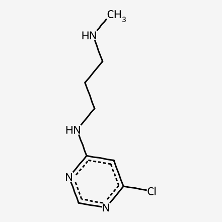 CNCCCNc1cc(Cl)ncn1